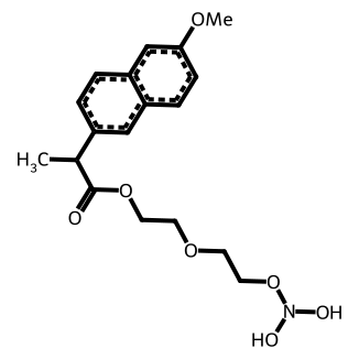 COc1ccc2cc(C(C)C(=O)OCCOCCON(O)O)ccc2c1